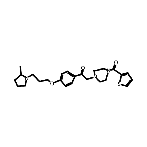 CC1CCCN1CCCOc1ccc(C(=O)CN2CCN(C(=O)c3cccs3)CC2)cc1